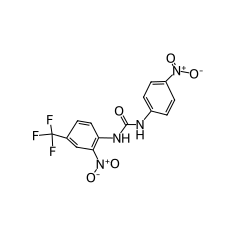 O=C(Nc1ccc([N+](=O)[O-])cc1)Nc1ccc(C(F)(F)F)cc1[N+](=O)[O-]